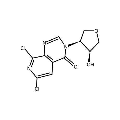 O=c1c2cc(Cl)nc(Cl)c2ncn1[C@H]1COC[C@H]1O